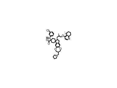 C[C@@H](COc1ccnc2c1[C@H](C)CCC2)C[C@H]1Cc2cc3c(cc2C12CCC(Nc1cccc(Cl)c1)(C(=O)O)CC2)OCC(CN1CCCC1)CO3